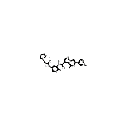 Cc1ncc(NC(=O)CN2CCC[C@@H]2C)cc1NC(=O)c1cnn2cc(-c3cnn(C)c3)nc(C)c12